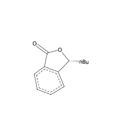 CCCC[C@H]1OC(=O)c2ccccc21